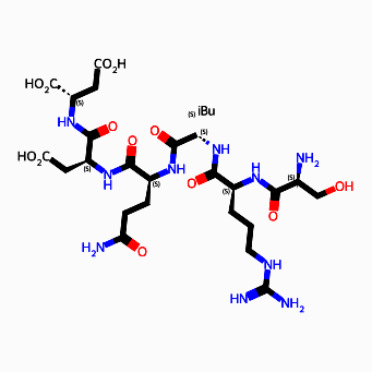 CC[C@H](C)[C@H](NC(=O)[C@H](CCCNC(=N)N)NC(=O)[C@@H](N)CO)C(=O)N[C@@H](CCC(N)=O)C(=O)N[C@@H](CC(=O)O)C(=O)N[C@@H](CC(=O)O)C(=O)O